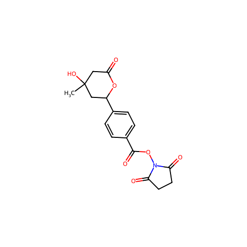 CC1(O)CC(=O)OC(c2ccc(C(=O)ON3C(=O)CCC3=O)cc2)C1